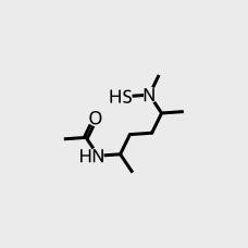 CC(=O)NC(C)CCC(C)N(C)S